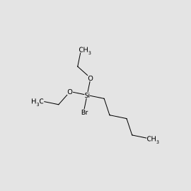 CCCCC[Si](Br)(OCC)OCC